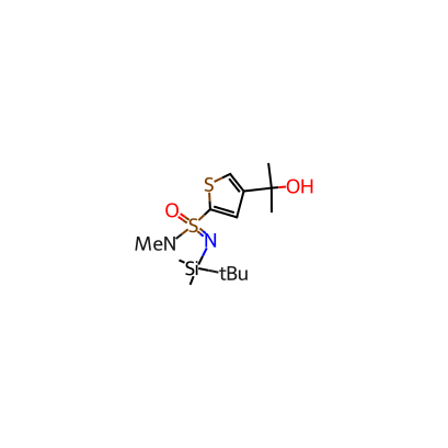 CNS(=O)(=N[Si](C)(C)C(C)(C)C)c1cc(C(C)(C)O)cs1